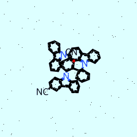 N#Cc1ccc(-n2c3ccccc3c3cc(C#N)ccc32)c(-c2ccccc2-n2c3ccccc3c3ccc(-n4c5ccccc5c5ccccc54)cc32)c1